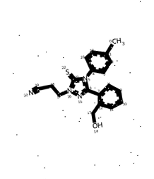 Cc1ccc(-n2c(-c3ccccc3CO)nn(CCC#N)c2=S)cc1